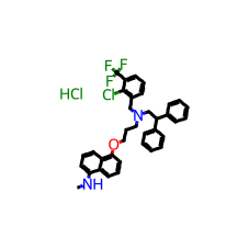 CNc1cccc2c(OCCCN(Cc3cccc(C(F)(F)F)c3Cl)CC(c3ccccc3)c3ccccc3)cccc12.Cl